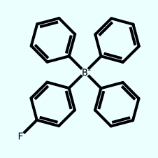 Fc1ccc([B-](c2ccccc2)(c2ccccc2)c2ccccc2)cc1